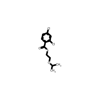 CC(C)OCCSC(=O)c1ccc(Cl)cc1Cl